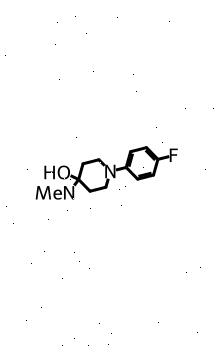 CNC1(O)CCN(c2ccc(F)cc2)CC1